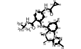 [2H]C([2H])([2H])NC(=O)c1cnc(NC(=O)C2CC2)cc1Nc1cc(F)cc2c1N(C)[C@H](C)c1nc(C)nn1-2